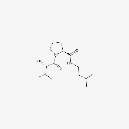 CC(C)CCNC(=O)[C@@H]1CCCN1C(=O)[C@@H](N)C(C)C